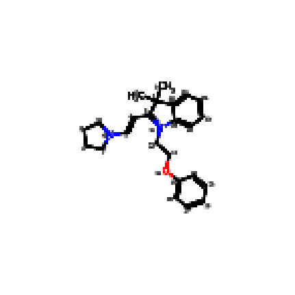 CC1(C)C(/C=C/N2CCCC2)=[N+](CCOc2ccccc2)c2ccccc21